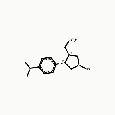 CC(C)N1C[C@H](CC(=O)O)[C@@H](c2ccc(N(C)C)cc2)C1